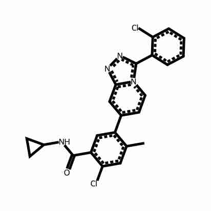 Cc1cc(Cl)c(C(=O)NC2CC2)cc1-c1ccn2c(-c3ccccc3Cl)nnc2c1